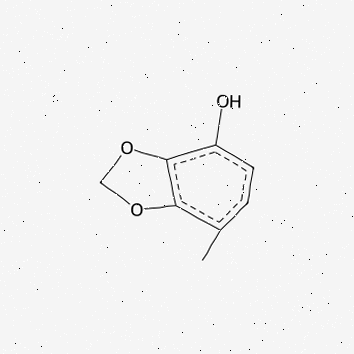 Cc1ccc(O)c2c1OCO2